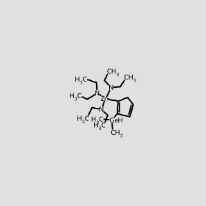 CC[N](CC)[Zr]([C]1=[C]([GeH]([CH3])[CH3])C=CC1)([N](CC)CC)[N](CC)CC